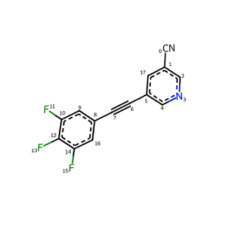 N#Cc1cncc(C#Cc2cc(F)c(F)c(F)c2)c1